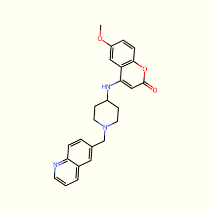 COc1ccc2oc(=O)cc(NC3CCN(Cc4ccc5ncccc5c4)CC3)c2c1